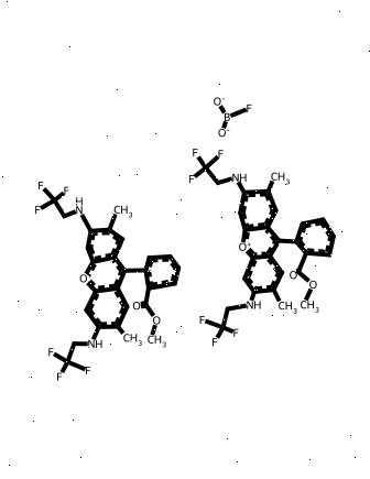 COC(=O)c1ccccc1-c1c2cc(C)c(NCC(F)(F)F)cc2[o+]c2cc(NCC(F)(F)F)c(C)cc12.COC(=O)c1ccccc1-c1c2cc(C)c(NCC(F)(F)F)cc2[o+]c2cc(NCC(F)(F)F)c(C)cc12.[O-]B([O-])F